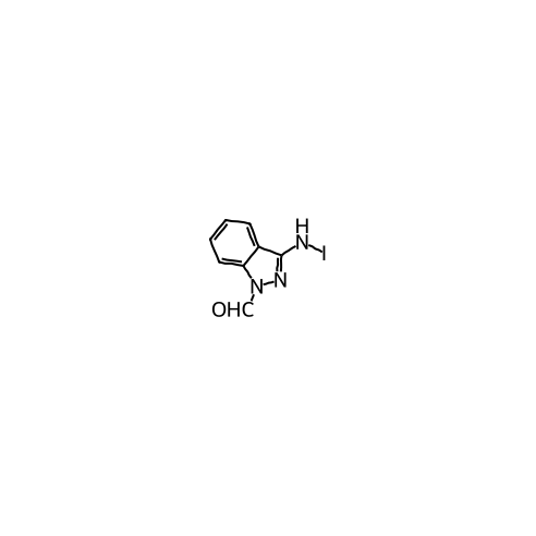 O=Cn1nc(NI)c2ccccc21